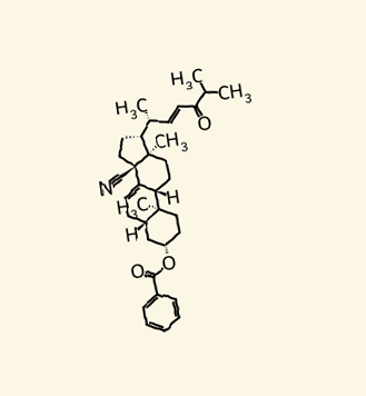 CC(C)C(=O)C=C[C@@H](C)[C@H]1CC[C@@]2(C#N)C3=CC[C@H]4C[C@@H](OC(=O)c5ccccc5)CC[C@]4(C)[C@H]3CC[C@]12C